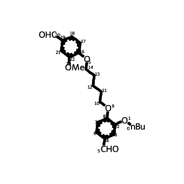 CCCCOc1cc(C=O)ccc1OCCCCCOc1ccc(C=O)cc1OC